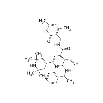 Cc1cc(C)c(CNC(=O)c2cc(C3=CC(C)(C)NC(C)(C)C3)nc(NC(C)c3ccccc3)c2C=N)c(=O)[nH]1